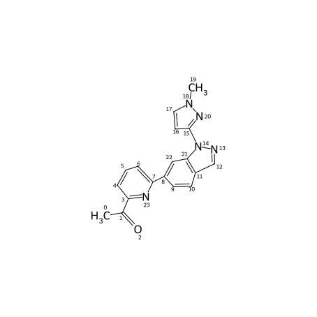 CC(=O)c1cccc(-c2ccc3cnn(-c4ccn(C)n4)c3c2)n1